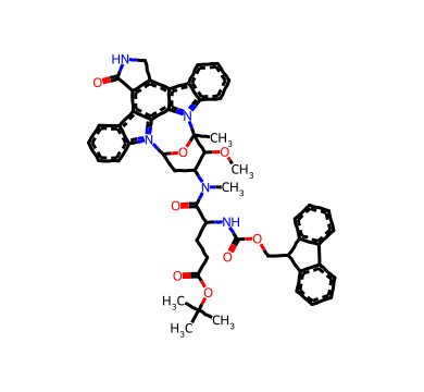 COC1C(N(C)C(=O)C(CCC(=O)OC(C)(C)C)NC(=O)OCC2c3ccccc3-c3ccccc32)CC2OC1(C)n1c3ccccc3c3c4c(c5c6ccccc6n2c5c31)C(=O)NC4